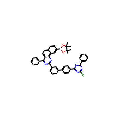 CC1(C)OB(c2ccc3ccc4c(-c5ccccc5)nc(-c5cccc(-c6ccc(-c7nc(Cl)nc(-c8ccccc8)n7)cc6)c5)nc4c3c2)OC1(C)C